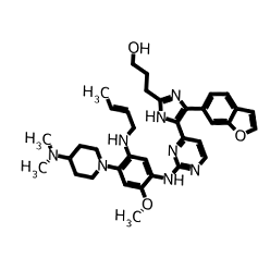 C/C=C/CNc1cc(Nc2nccc(-c3[nH]c(CCCO)nc3-c3ccc4ccoc4c3)n2)c(OC)cc1N1CCC(N(C)C)CC1